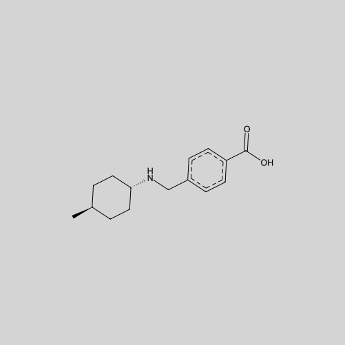 C[C@H]1CC[C@H](NCc2ccc(C(=O)O)cc2)CC1